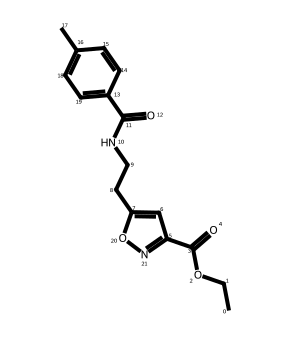 CCOC(=O)c1cc(CCNC(=O)c2ccc(C)cc2)on1